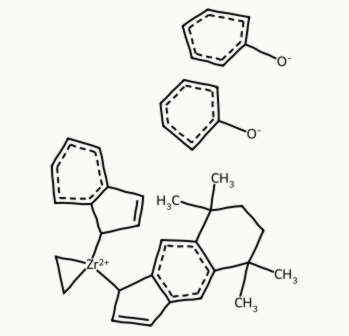 CC1(C)CCC(C)(C)c2cc3c(cc21)C=C[CH]3[Zr+2]1([CH]2C=Cc3ccccc32)[CH2][CH2]1.[O-]c1ccccc1.[O-]c1ccccc1